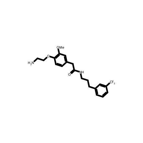 COc1cc(CC(=O)NCCCc2cccc(C(F)(F)F)c2)ccc1OCCN